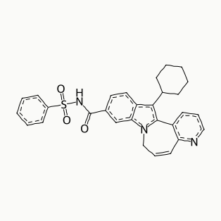 O=C(NS(=O)(=O)c1ccccc1)c1ccc2c(C3CCCCC3)c3n(c2c1)CC=Cc1ncccc1-3